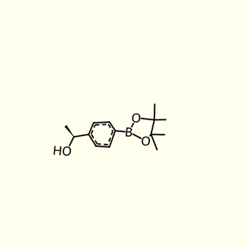 C[C@H](O)c1ccc(B2OC(C)(C)C(C)(C)O2)cc1